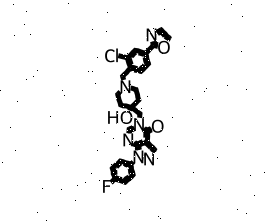 O=c1c2cnn(-c3ccc(F)cc3)c2ncn1CC1(O)CCN(Cc2ccc(-c3ncco3)cc2Cl)CC1